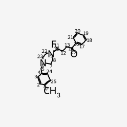 Cc1ccc(CN2CCN(C(F)CCC(=O)c3ccccc3)CC2)cc1